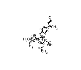 C=C(/C=C/Cl)c1ccc(C[C@H](C[C@@H](CO)C(=O)OCC)NC(=O)OC(C)(C)C)cc1